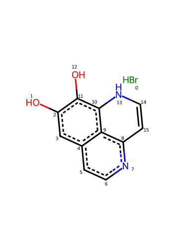 Br.Oc1cc2ccnc3c2c(c1O)NC=C3